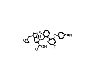 N#Cc1ccc(Oc2cc(F)cnc2-c2cccc(F)c2C[SH]2C(C(=O)O)=Cc3c2ncn3CC2CCO2)cc1